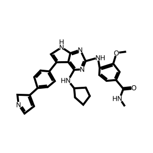 CNC(=O)c1ccc(Nc2nc(NC3CCCC3)c3c(-c4ccc(C5=CC=NC5)cc4)c[nH]c3n2)c(OC)c1